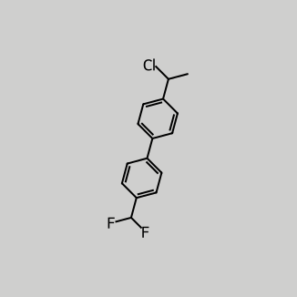 CC(Cl)c1ccc(-c2ccc(C(F)F)cc2)cc1